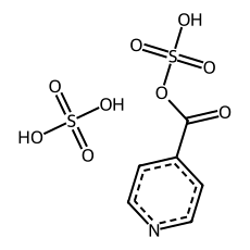 O=C(OS(=O)(=O)O)c1ccncc1.O=S(=O)(O)O